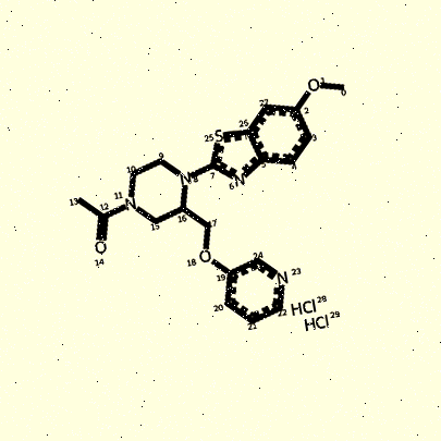 COc1ccc2nc(N3CCN(C(C)=O)CC3COc3cccnc3)sc2c1.Cl.Cl